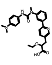 CCOC(Cc1ccc(-c2cccc(N(C)C(=O)Nc3ccc(N(C)C)cc3)c2)nc1)C(=O)O